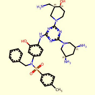 Cc1ccc(S(=O)(=O)N(Cc2ccccc2)c2ccc(Nc3nc(N4C[C@H](N)C[C@H](N)C4)nc(N4CC[C@H](O)[C@H](CN)C4)n3)c(O)c2)cc1